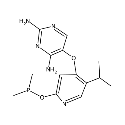 CC(C)c1cnc(OP(C)C)cc1Oc1cnc(N)nc1N